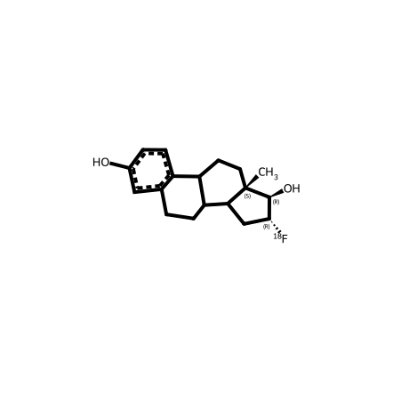 C[C@]12CCC3c4ccc(O)cc4CCC3C1C[C@@H]([18F])[C@@H]2O